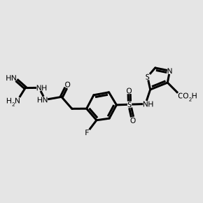 N=C(N)NNC(=O)Cc1ccc(S(=O)(=O)Nc2scnc2C(=O)O)cc1F